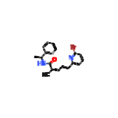 C[C@H](NC(=O)C(C#N)=CC=Cc1cccc(Br)n1)c1ccccc1